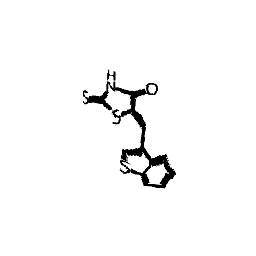 O=C1NC(=S)SC1=Cc1csc2ccccc12